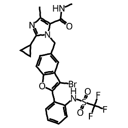 CNC(=O)c1c(C)nc(C2CC2)n1Cc1ccc2oc(-c3ccccc3NS(=O)(=O)C(F)(F)F)c(Br)c2c1